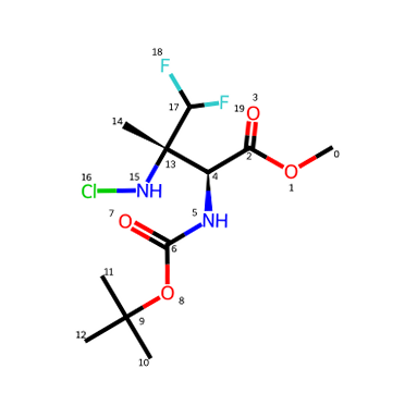 COC(=O)[C@@H](NC(=O)OC(C)(C)C)[C@](C)(NCl)C(F)F